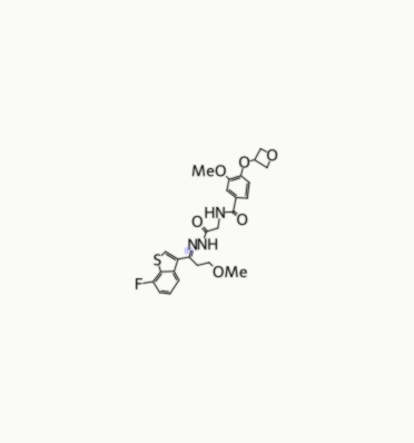 COCC/C(=N\NC(=O)CNC(=O)c1ccc(OC2COC2)c(OC)c1)c1csc2c(F)cccc12